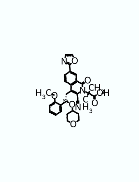 COc1ccccc1[C@H](Cc1c(C#N)n(C(C)(C)C(=O)O)c(=O)c2cc(-c3ncco3)ccc12)OC1CCOCC1